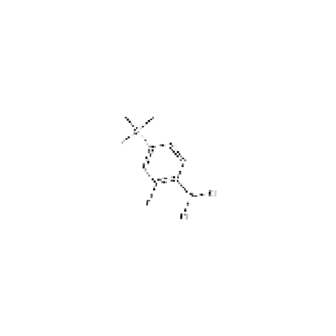 C[Si](C)(C)c1ccc(P(Cl)Cl)c(F)c1